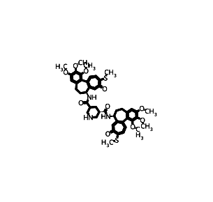 COc1cc2c(c(OC)c1OC)-c1ccc(SC)c(=O)cc1[C@@H](NC(=O)C1CNC[C@@H](C(=O)N[C@H]3CCc4cc(OC)c(OC)c(OC)c4-c4ccc(SC)c(=O)cc43)C1)CC2